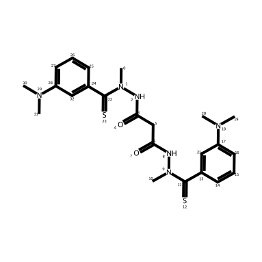 CN(NC(=O)CC(=O)NN(C)C(=S)c1cccc(N(C)C)c1)C(=S)c1cccc(N(C)C)c1